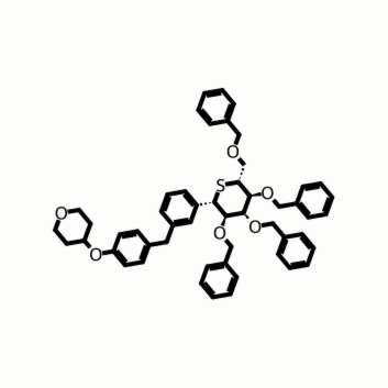 c1ccc(COC[C@H]2S[C@@H](c3cccc(Cc4ccc(OC5CCOCC5)cc4)c3)[C@H](OCc3ccccc3)[C@@H](OCc3ccccc3)[C@@H]2OCc2ccccc2)cc1